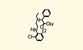 CCN(CCNc1c(Cl)cccc1Cl)C(C(=O)O)c1ccccc1